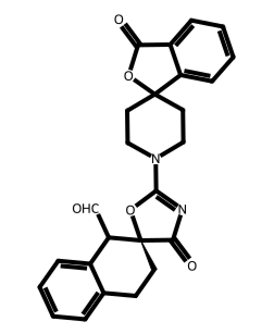 O=CC1c2ccccc2CC[C@]12OC(N1CCC3(CC1)OC(=O)c1ccccc13)=NC2=O